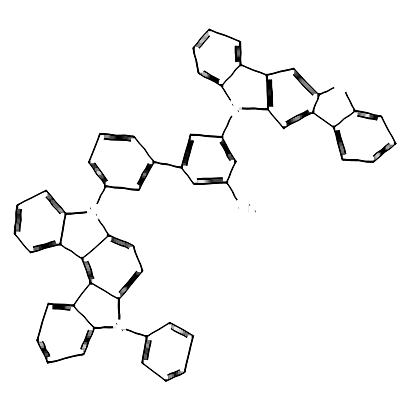 N#Cc1cc(-c2cccc(-n3c4ccccc4c4c5c6ccccc6n(-c6ccccc6)c5ccc43)c2)cc(-n2c3ccccc3c3cc4oc5ccccc5c4cc32)c1